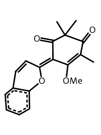 COC1=C(C)C(=O)C(C)(C)C(=O)/C1=C1\C=Cc2ccccc2O1